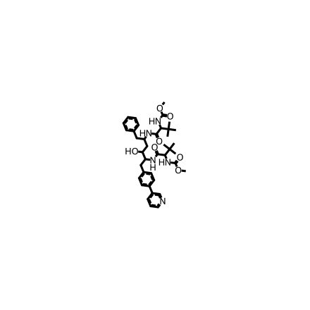 COC(=O)NC(C(=O)NC(Cc1ccccc1)CC(O)C(Cc1ccc(-c2cccnc2)cc1)NC(=O)C(NC(=O)OC)C(C)(C)C)C(C)(C)C